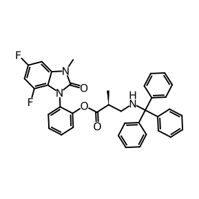 C[C@@H](CNC(c1ccccc1)(c1ccccc1)c1ccccc1)C(=O)Oc1ccccc1-n1c(=O)n(C)c2cc(F)cc(F)c21